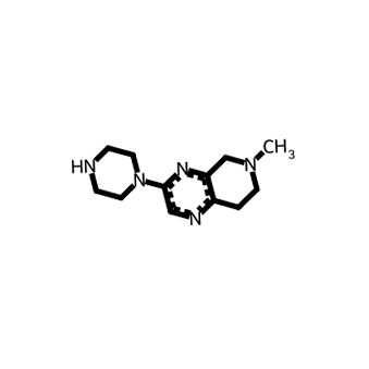 CN1CCc2ncc(N3CCNCC3)nc2C1